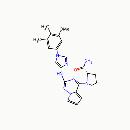 COc1cc(-n2cnc(Nc3nc(N4CCC[C@H]4C(N)=O)c4cccn4n3)c2)cc(C)c1C